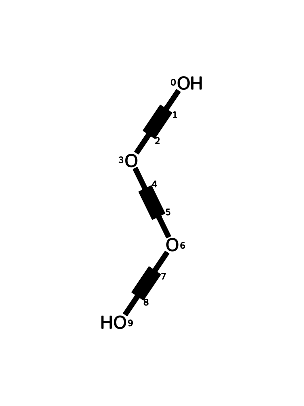 OC#COC#COC#CO